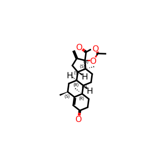 C=C1C[C@H]2[C@@H]3C[C@H](C)C4=CC(=O)CC[C@]4(C)[C@H]3CC[C@]2(C)[C@@]1(OC(C)=O)C(C)=O